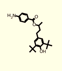 CC(CCc1cc(C(C)(C)C)c(O)c(C(C)(C)C)c1)OC(=O)c1ccc(N)cc1